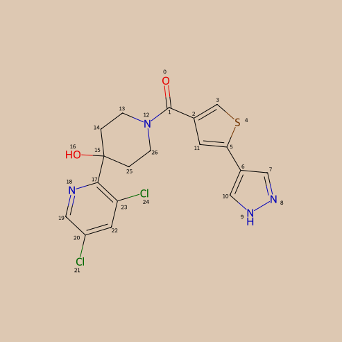 O=C(c1csc(-c2cn[nH]c2)c1)N1CCC(O)(c2ncc(Cl)cc2Cl)CC1